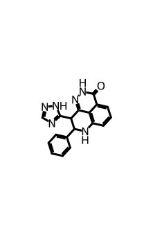 O=c1[nH]nc2c3c(cccc13)NC(c1ccccc1)C2c1ncn[nH]1